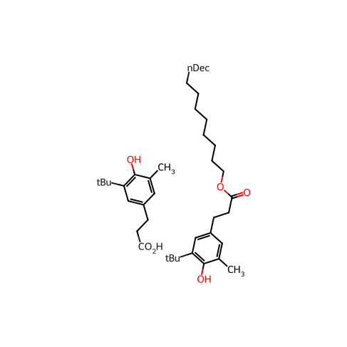 CCCCCCCCCCCCCCCCCCOC(=O)CCc1cc(C)c(O)c(C(C)(C)C)c1.Cc1cc(CCC(=O)O)cc(C(C)(C)C)c1O